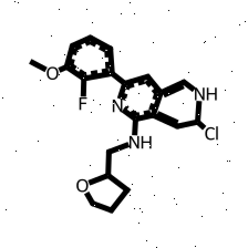 COc1cccc(-c2cc3c(c(NCC4CCCO4)n2)=CC(Cl)NC=3)c1F